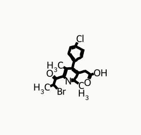 Cc1nc(C(=O)C(C)Br)c(C)c(-c2ccc(Cl)cc2)c1CC(=O)O